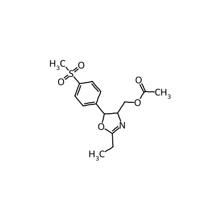 CCC1=NC(COC(C)=O)C(c2ccc(S(C)(=O)=O)cc2)O1